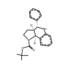 CC(C)(C)OC(=O)N1CC[C@@H]2[C@H]1c1ccccc1N[C@H]2c1ccccc1